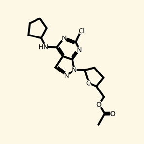 CC(=O)OCC1CCC(n2ncc3c(NC4CCCC4)nc(Cl)nc32)O1